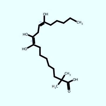 CCCCC/C(O)=C\C/C(O)=C(/O)CCCCCCC(C)(C)C(=O)O